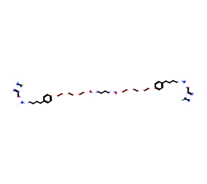 N=C(NCCCCc1ccc(OCCOCCOCCOC(=O)NCCCCNC(=O)OCCOCCOCCOc2ccc(CCCCNC(=N)NC(=O)c3nc(Cl)c(N)nc3N)cc2)cc1)NC(=O)c1nc(Cl)c(N)nc1N